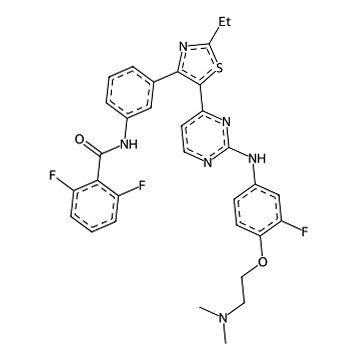 CCc1nc(-c2cccc(NC(=O)c3c(F)cccc3F)c2)c(-c2ccnc(Nc3ccc(OCCN(C)C)c(F)c3)n2)s1